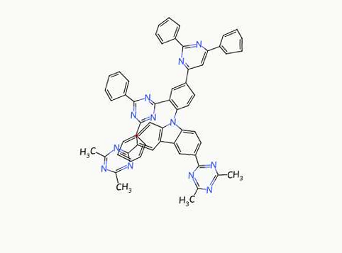 Cc1nc(C)nc(-c2ccc3c(c2)c2cc(-c4nc(C)nc(C)n4)ccc2n3-c2ccc(-c3cc(-c4ccccc4)nc(-c4ccccc4)n3)cc2-c2nc(-c3ccccc3)nc(-c3ccccc3)n2)n1